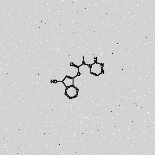 CN(C(=O)OC1=CC(O)c2ccccc21)N1C=CN=NN1